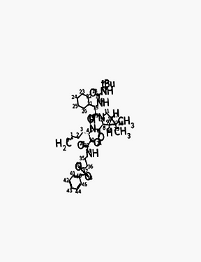 C=CCC[C@H](NC(=O)[C@@H]1[C@@H]2[C@H](CN1C(=O)[C@@H](NC(=O)NC(C)(C)C)C1CCCCC1)C2(C)C)C(=O)C(=O)NCCS(=O)(=O)c1ccccc1